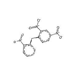 O=[N+]([O-])c1ccc(Cc2ccccc2[N+](=O)[O-])c([N+](=O)[O-])c1